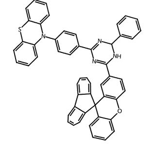 c1ccc(C2N=C(c3ccc(N4c5ccccc5Sc5ccccc54)cc3)N=C(c3ccc4c(c3)C3(c5ccccc5O4)c4ccccc4-c4ccccc43)N2)cc1